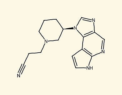 N#CCCN1CCC[C@@H](n2cnc3cnc4[nH]ccc4c32)C1